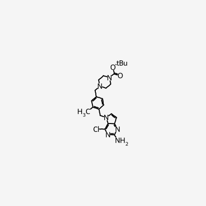 Cc1cc(CN2CCN(C(=O)OC(C)(C)C)CC2)ccc1Cn1ccc2nc(N)nc(Cl)c21